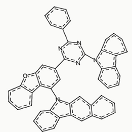 c1ccc(-c2nc(-c3cc(-n4c5ccccc5c5cc6ccccc6cc54)c4c(c3)oc3ccccc34)nc(-n3c4ccccc4c4ccccc43)n2)cc1